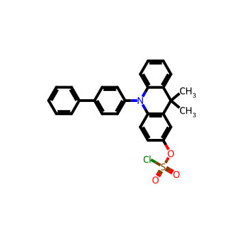 CC1(C)c2ccccc2N(c2ccc(-c3ccccc3)cc2)c2ccc(OS(=O)(=O)Cl)cc21